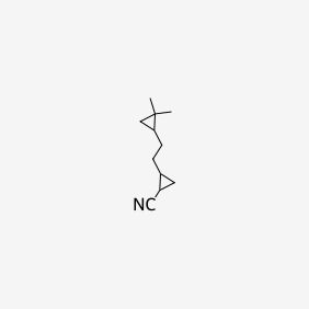 CC1(C)CC1CCC1CC1C#N